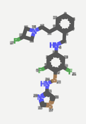 Fc1cc(NCc2ccccc2CCN2CC(F)C2)cc(F)c1SNc1cscn1